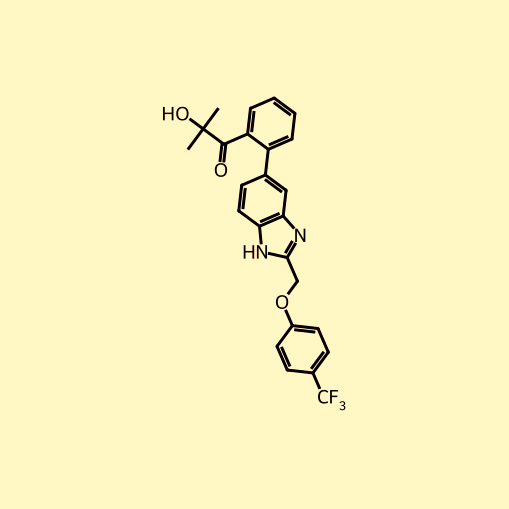 CC(C)(O)C(=O)c1ccccc1-c1ccc2[nH]c(COc3ccc(C(F)(F)F)cc3)nc2c1